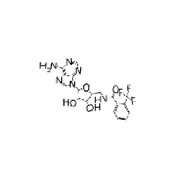 Nc1ncnc2c1ncn2C1OC(CNC(=O)c2ccccc2C(F)(F)F)C(O)C1O